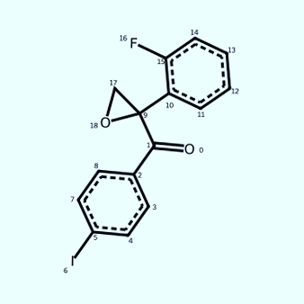 O=C(c1ccc(I)cc1)C1(c2ccccc2F)CO1